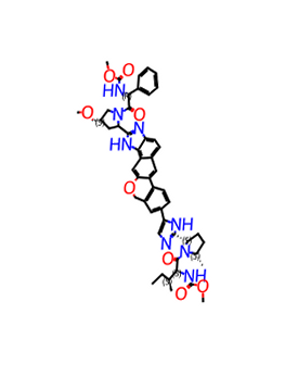 CC[C@H](C)[C@H](NC(=O)OC)C(=O)N1[C@@H](C)CC[C@H]1c1ncc(-c2ccc3c(c2)COc2cc4c(ccc5nc(C6C[C@H](COC)CN6C(=O)[C@H](NC(=O)OC)c6ccccc6)[nH]c54)cc2-3)[nH]1